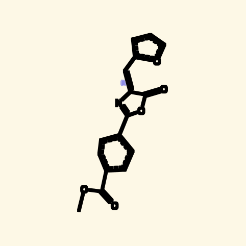 COC(=O)c1ccc(C2=N/C(=C/c3ccco3)C(=O)O2)cc1